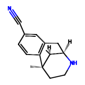 C[C@H]1[C@H]2Cc3cc(C#N)ccc3[C@]1(C)CCN2